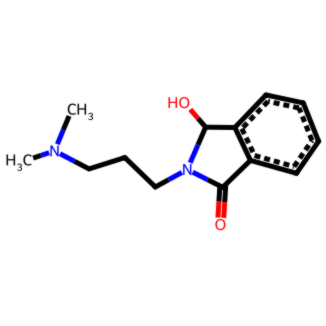 CN(C)CCCN1C(=O)c2ccccc2C1O